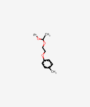 Cc1ccc(OCCOC(C)OC(C)C)cc1